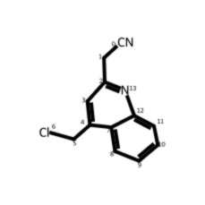 N#CCc1cc(CCl)c2ccccc2n1